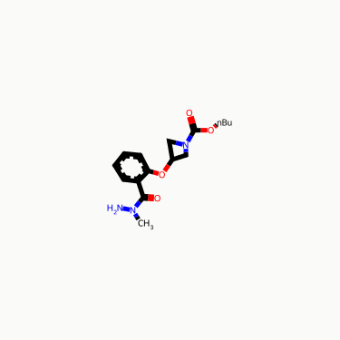 CCCCOC(=O)N1CC(Oc2ccccc2C(=O)N(C)N)C1